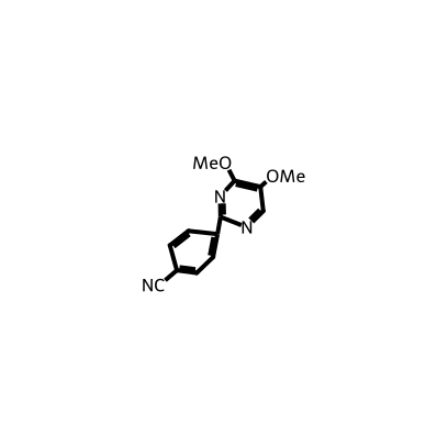 COc1cnc(-c2ccc(C#N)cc2)nc1OC